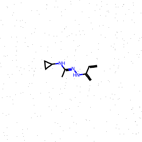 C=CC(=C)N/N=C(\C)NC1CC1